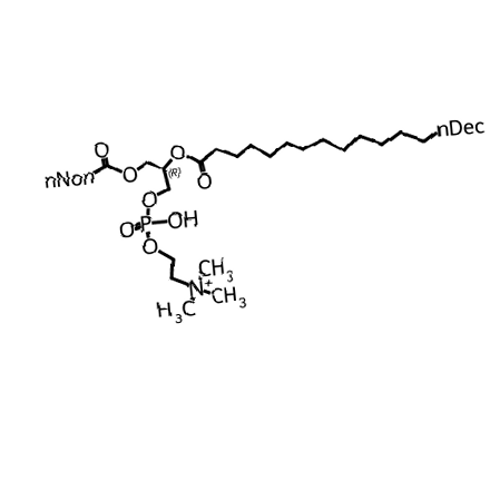 CCCCCCCCCCCCCCCCCCCCCCC(=O)O[C@H](COC(=O)CCCCCCCCC)COP(=O)(O)OCC[N+](C)(C)C